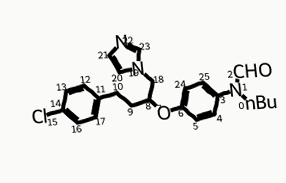 CCCCN(C=O)c1ccc(OC(CCc2ccc(Cl)cc2)Cn2ccnc2)cc1